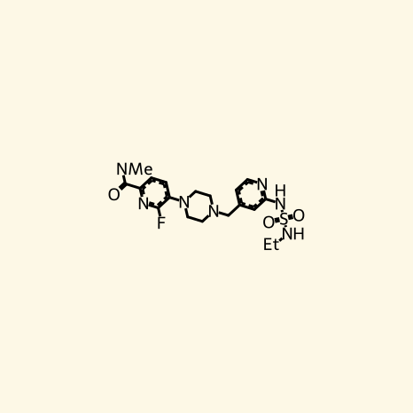 CCNS(=O)(=O)Nc1cc(CN2CCN(c3ccc(C(=O)NC)nc3F)CC2)ccn1